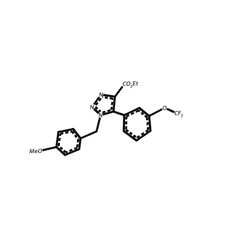 CCOC(=O)c1nnn(Cc2ccc(OC)cc2)c1-c1cccc(OC(F)(F)F)c1